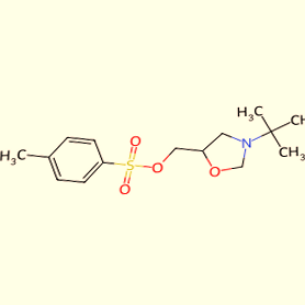 Cc1ccc(S(=O)(=O)OCC2CN(C(C)(C)C)CO2)cc1